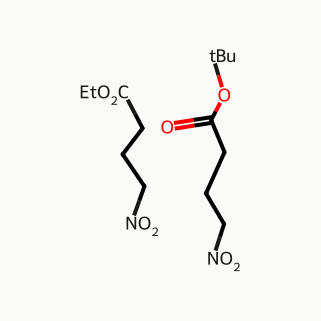 CC(C)(C)OC(=O)CCC[N+](=O)[O-].CCOC(=O)CCC[N+](=O)[O-]